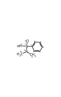 CCC[Si](Cl)(c1ccccc1)N(C)C